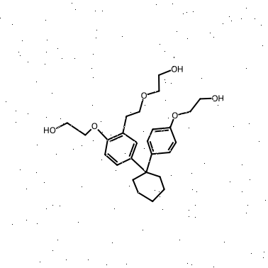 OCCOCCc1cc(C2(c3ccc(OCCO)cc3)CCCCC2)ccc1OCCO